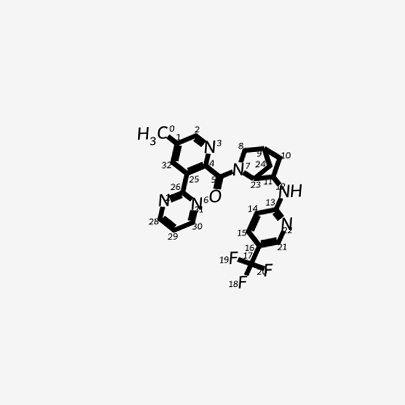 Cc1cnc(C(=O)N2CC3CC(Nc4ccc(C(F)(F)F)cn4)C2C3)c(-c2ncccn2)c1